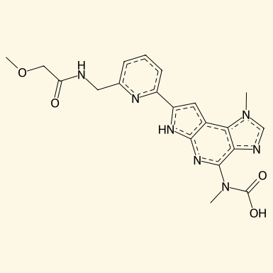 COCC(=O)NCc1cccc(-c2cc3c(nc(N(C)C(=O)O)c4ncn(C)c43)[nH]2)n1